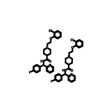 O=C(NC(c1ccc(F)cc1)c1ccccn1)C1CCN(CCOc2ccccc2Cl)CC1.O=C(NC(c1ccc(F)cc1)c1ccccn1)C1CCN(CCOc2ccccc2Cl)CC1